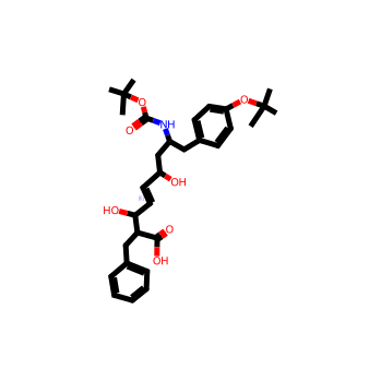 CC(C)(C)OC(=O)NC(Cc1ccc(OC(C)(C)C)cc1)CC(O)/C=C/C(O)C(Cc1ccccc1)C(=O)O